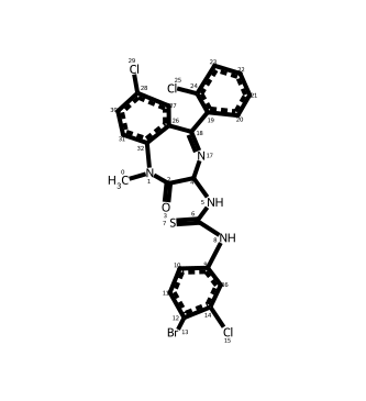 CN1C(=O)C(NC(=S)Nc2ccc(Br)c(Cl)c2)N=C(c2ccccc2Cl)c2cc(Cl)ccc21